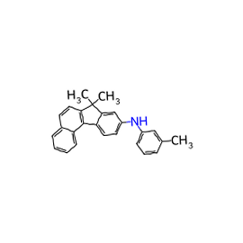 Cc1cccc(Nc2ccc3c(c2)C(C)(C)c2ccc4ccccc4c2-3)c1